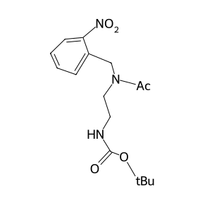 CC(=O)N(CCNC(=O)OC(C)(C)C)Cc1ccccc1[N+](=O)[O-]